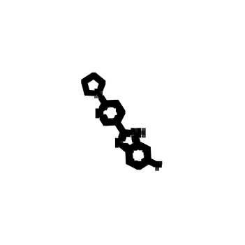 Fc1ccc2nc(-c3ccc(N4CCCC4)nc3)[nH]c2c1